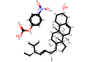 CC[C@H](/C=C/[C@@H](C)[C@H]1CC[C@H]2[C@@H]3CC=C4C[C@@H](O)CC[C@]4(C)[C@H]3CC[C@]12C)C(C)C.O=C(O)Oc1ccc([N+](=O)[O-])cc1